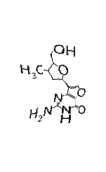 CC1C[C@H](c2coc3c(=O)[nH]c(N)nc23)O[C@@H]1CO